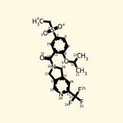 CCS(=O)(=O)c1ccc(OC(C)C)c(C(=O)N2Cc3cnc(C(F)(F)F)cc3C2)c1